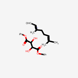 CC(C)=CCC/C(C)=C/C=O.CC(C)OC(=O)C(O)C(O)C(=O)OC(C)C